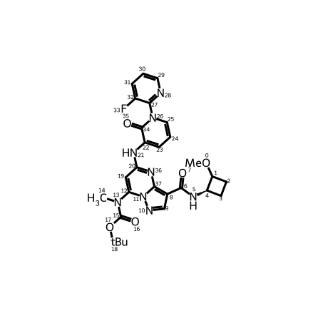 COC1CC[C@H]1NC(=O)c1cnn2c(N(C)C(=O)OC(C)(C)C)cc(Nc3cccn(-c4ncccc4F)c3=O)nc12